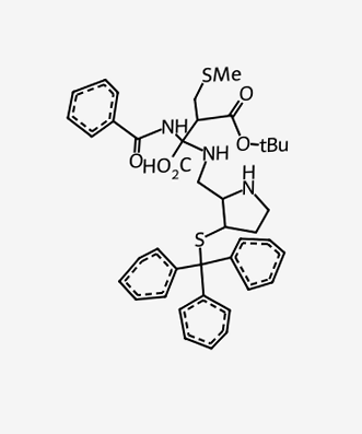 CSCC(C(=O)OC(C)(C)C)C(NCC1NCCC1SC(c1ccccc1)(c1ccccc1)c1ccccc1)(NC(=O)c1ccccc1)C(=O)O